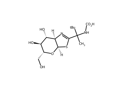 CC(C)(C)C(C)(NC(=O)O)C1=N[C@@H]2[C@@H](O)[C@H](O)[C@@H](CO)O[C@@H]2S1